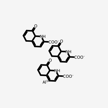 O=C([O-])C1=CC=C2CC=CC(=O)C2N1.O=C([O-])C1=CC=C2CC=CC(=O)C2N1.O=C([O-])C1=CC=C2CC=CC(=O)C2N1.[Al+3]